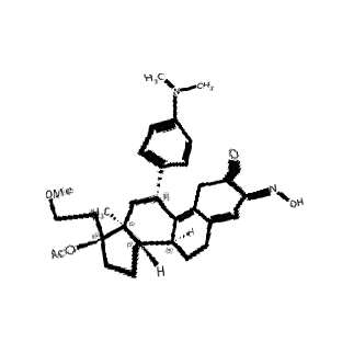 COCC[C@@]1(OC(C)=O)CC[C@H]2[C@@H]3CCC4=CC(=NO)C(=O)CC4=C3[C@@H](c3ccc(N(C)C)cc3)C[C@@]21C